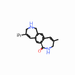 CC1=Cc2cc3c(cc2C(=O)NC1)C=C(C(C)C)CNC3